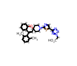 Cc1cccc(C)c1C1=CC2(CCN(c3ncc(-c4nnn(CC(=O)O)n4)s3)CC2)Oc2ccccc21